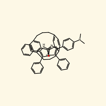 CN(C)c1ccc(-c2nc(-c3cc4ccc3CCCc3ccc(cc3-c3nc(-c5ccccc5)c(-c5ccccc5)[nH]3)CCC4)[nH]c2-c2ccccc2)cc1